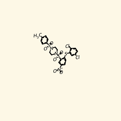 Cc1ccc(S(=O)(=O)N2CCN(S(=O)(=O)c3cc([N+](=O)[O-])ccc3Sc3cc(Cl)ccc3Cl)CC2)cc1